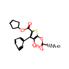 CNC(=O)Oc1sc(C(=O)OC2CCCC2)c(-c2ccccc2)c1O